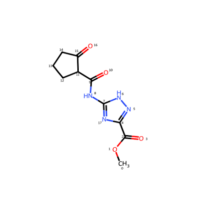 COC(=O)c1n[nH]c(NC(=O)C2CCCC2=O)n1